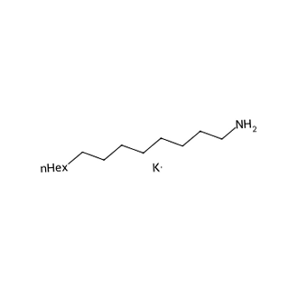 CCCCCCCCCCCCCCN.[K]